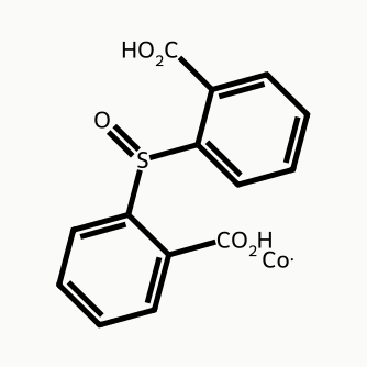 O=C(O)c1ccccc1S(=O)c1ccccc1C(=O)O.[Co]